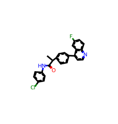 CC(C(=O)Nc1ccc(Cl)cc1)c1ccc(-c2ccnc3ccc(F)cc23)cc1